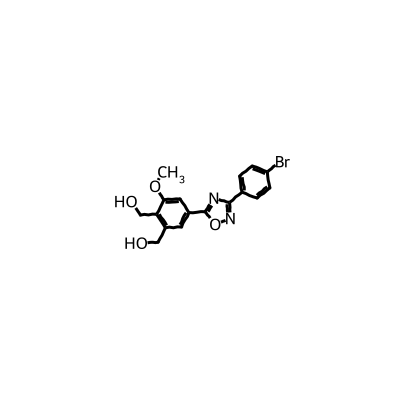 COc1cc(-c2nc(-c3ccc(Br)cc3)no2)cc(CO)c1CO